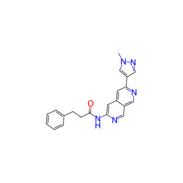 Cn1cc(-c2cc3cc(NC(=O)CCc4ccccc4)ncc3cn2)cn1